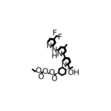 CCOC(=O)OCOC(=O)[C@H]1CC[C@H](C(C)(O)c2ccc(-c3cc(C)cc(Nc4cc(C(F)F)ccn4)n3)cn2)CC1